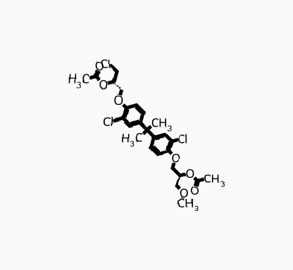 COC[C@@H](COc1ccc(C(C)(C)c2ccc(OC[C@@H](CCl)OC(C)=O)c(Cl)c2)cc1Cl)OC(C)=O